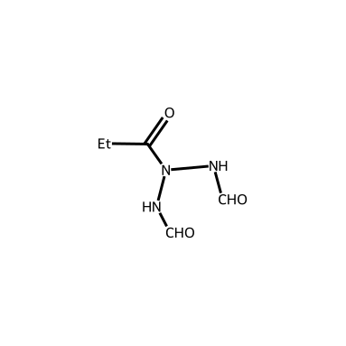 CCC(=O)N(NC=O)NC=O